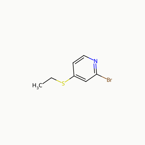 CCSc1ccnc(Br)c1